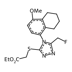 CCOC(=O)CSc1nnc(CF)n1-c1ccc(OC)c2c1CCCC2